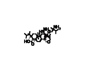 CC(C)[C@@H](C)[C@@]1(C)CC[C@]2(C)[C@H]3CC[C@@H]4[C@@]5(COC[C@@]4(C)[C@@H](OC[C@](C)(N)C(C)C)[C@H](NN)C5)C3=CC[C@@]2(C)[C@@H]1C(=O)O